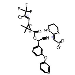 CC1(C)[C@H](C(=O)OC(C#N)c2cccc(Oc3ccccc3)c2)[C@@H]1/C=C(\Cl)C(F)(F)F.O=[N+]([O-])/C=C1/NCCCS1